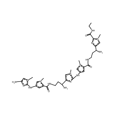 CCNC(=O)c1nc(C(N)CCNC(=O)c2cc(Nc3nc(C(N)CCNC(=O)c4cc(Nc5nc(N)cn5C)cn4C)cn3C)cn2C)cn1C